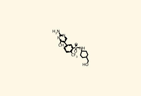 Cc1nc(N)ncc1-c1ccc(C(F)(F)F)c(S(=O)(=O)NC2CCC(CO)CC2)c1